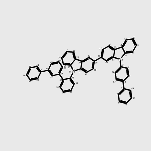 c1ccc(-c2ccc(-n3c4ccccc4c4ccc(-c5ccc6c(c5)c5ccccc5n6-c5ccccc5-c5cccc(-c6ccccc6)c5)cc43)cc2)cc1